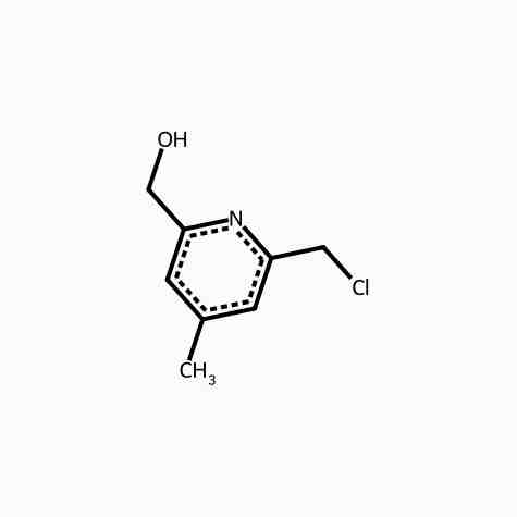 Cc1cc(CO)nc(CCl)c1